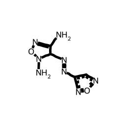 NC1=NON(N)C1N=Nc1cnon1